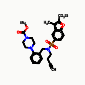 C#CCCN(Cc1ccccc1N1CCN(C(=O)OC(C)(C)C)CC1)S(=O)(=O)c1ccc2oc(C(=O)OCC)c(C)c2c1